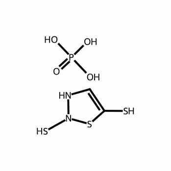 O=P(O)(O)O.SC1=CNN(S)S1